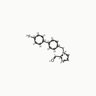 O=Cc1nc[c]n1Cc1ccc(-c2ccc(F)cc2)cc1